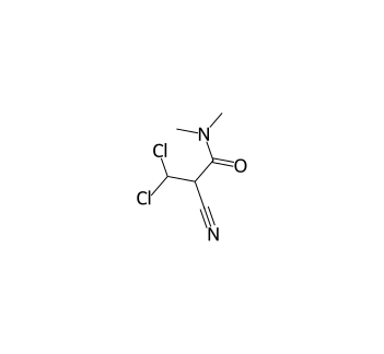 CN(C)C(=O)C(C#N)C(Cl)Cl